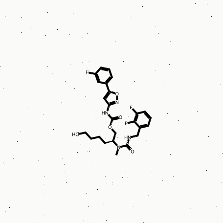 CN(C(=O)NCc1cccc(F)c1F)[C@@H](CCCCO)COC(=O)Nc1cc(-c2cccc(F)c2)on1